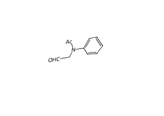 CC(=O)N(CC=O)c1ccccc1